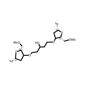 [3H][C@H]1CC(OCCC(O)CCOC2C[C@H]([3H])O[C@@H]2COC)[C@@H](COC)O1